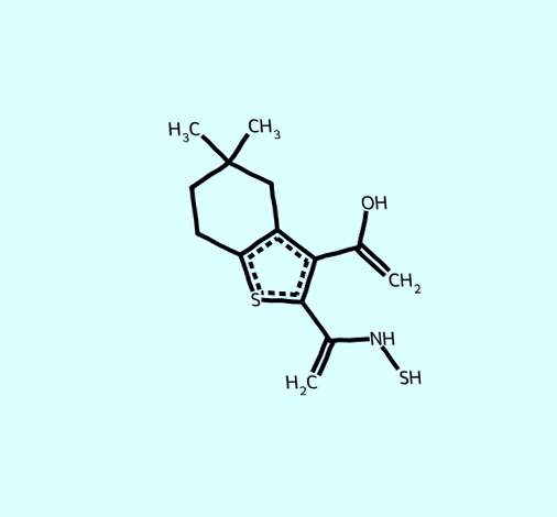 C=C(NS)c1sc2c(c1C(=C)O)CC(C)(C)CC2